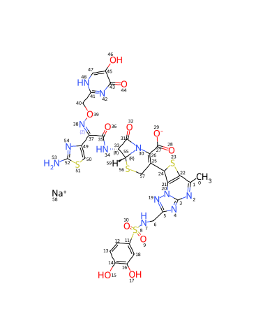 Cc1nc2nc(CNS(=O)(=O)c3ccc(O)c(O)c3)nn2c2c1SC2C1=C(C(=O)[O-])N2C(=O)[C@@H](NC(=O)/C(=N\OCc3nc(=O)c(O)c[nH]3)c3csc(N)n3)[C@H]2SC1.[Na+]